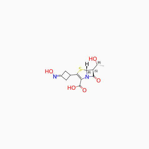 C[C@@H](O)[C@H]1C(=O)N2C(C(=O)O)=C(C3CC(=NO)C3)S[C@H]12